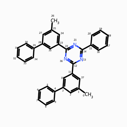 Cc1cc(-c2ccccc2)cc(-c2nc(-c3ccccc3)nc(-c3cc(C)cc(-c4ccccc4)c3)n2)c1